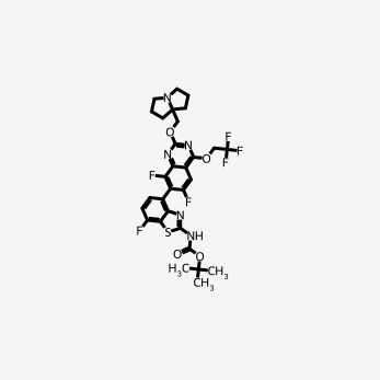 CC(C)(C)OC(=O)Nc1nc2c(-c3c(F)cc4c(OCC(F)(F)F)nc(OCC56CCCN5CCC6)nc4c3F)ccc(F)c2s1